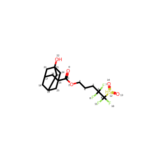 O=C(OCCCC(F)(F)C(F)(F)[SH](=O)=O)C12CC3CC(CC(O)(C3)C1)C2